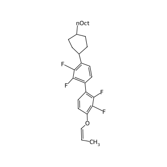 C/C=C\Oc1ccc(-c2ccc(C3CCC(CCCCCCCC)CC3)c(F)c2F)c(F)c1F